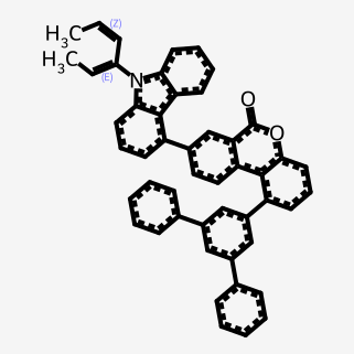 C/C=C\C(=C/C)n1c2ccccc2c2c(-c3ccc4c(c3)c(=O)oc3cccc(-c5cc(-c6ccccc6)cc(-c6ccccc6)c5)c34)cccc21